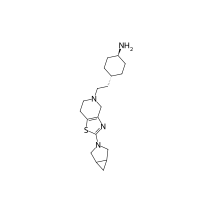 N[C@H]1CC[C@H](CCN2CCc3sc(N4CC5CC5C4)nc3C2)CC1